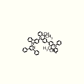 CC1(C)c2ccccc2N(c2ccccc2)c2ccc(-c3ccc4c(c3)C(C)(C)c3ccccc3N4c3ccc4c(c3)c3ccccc3n4-c3cc(-c4ccccc4)cc(-c4ccccc4)n3)cc21